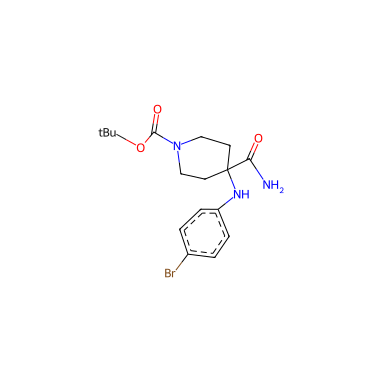 CC(C)(C)OC(=O)N1CCC(Nc2ccc(Br)cc2)(C(N)=O)CC1